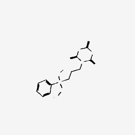 CCCCO[Si](CCCn1c(=O)[nH]c(=O)[nH]c1=O)(OCCCC)c1ccccc1